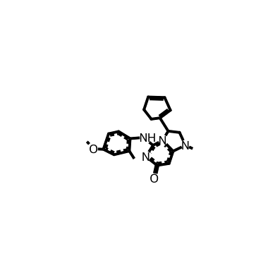 COc1ccc(Nc2nc(=O)cc3n2C(C2=CC=CCC2)CN3C)c(C)c1